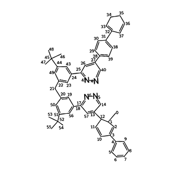 CC1C=C(c2ccccc2)C=CC1c1cnnc(-c2cc(Cc3cc(-c4cc(-c5ccc(C6=CCCC=C6)cc5)cnn4)cc(C(C)(C)C)c3)cc(C(C)(C)C)c2)c1